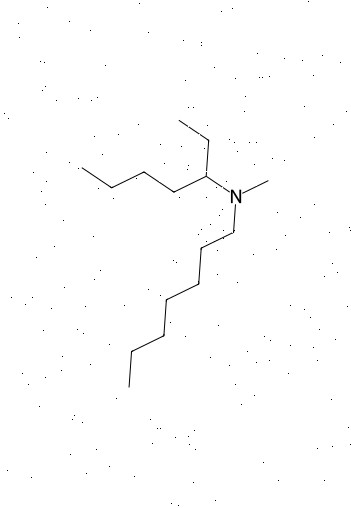 CCCCCCCN(C)C(CC)CCCC